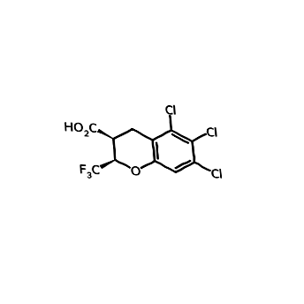 O=C(O)[C@H]1Cc2c(cc(Cl)c(Cl)c2Cl)O[C@H]1C(F)(F)F